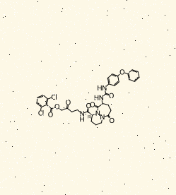 O=C(CCNC(=O)[C@@H]1CCCN2C(=O)CCC(NC(=O)Nc3ccc(Oc4ccccc4)cc3)C(=O)N12)COC(=O)c1c(Cl)cccc1Cl